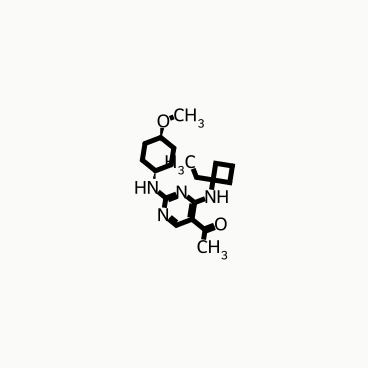 CCC1(Nc2nc(N[C@H]3CC[C@H](OC)CC3)ncc2C(C)=O)CCC1